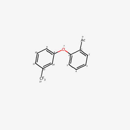 CC(=O)c1ccccc1Oc1cccc(C(F)(F)F)c1